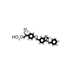 C[C@@H](CC(=O)O)c1ccc(OCc2ccc3c(c2)ncn3Cc2ccccc2)cc1